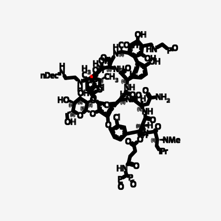 CCCCCCCCCCNCCN[C@@]1(C)C[C@H](O[C@H]2[C@H](Oc3c4cc5cc3Oc3ccc(cc3Cl)[C@@H](OC(=O)CCC(=O)NC(P=O)P=O)[C@@H](NC(=O)[C@@H](CC(C)C)NC)C(=O)N[C@@H](CC(N)=O)C(=O)N[C@H]5C(=O)N[C@H]3C(=O)N[C@H](C(=O)N[C@H](C(=O)O)c5cc(O)c(CNCP=O)c(O)c5-c5cc3ccc5O)[C@H](O)c3ccc(c(Cl)c3)O4)O[C@H](CO)[C@@H](O)[C@@H]2O)O[C@@H](C)[C@H]1O